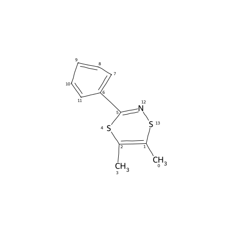 CC1=C(C)SC(c2ccccc2)=NS1